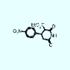 CCOC(=O)C1C(=O)NC(=O)CC1c1ccc([N+](=O)[O-])cc1